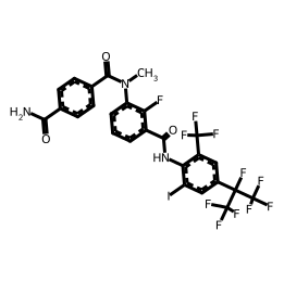 CN(C(=O)c1ccc(C(N)=O)cc1)c1cccc(C(=O)Nc2c(I)cc(C(F)(C(F)(F)F)C(F)(F)F)cc2C(F)(F)F)c1F